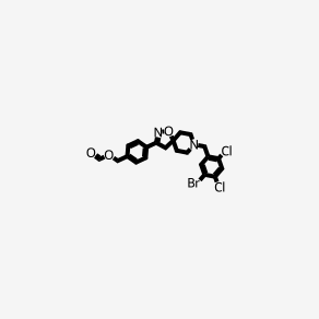 O=COCc1ccc(C2=NOC3(CCN(Cc4cc(Br)c(Cl)cc4Cl)CC3)C2)cc1